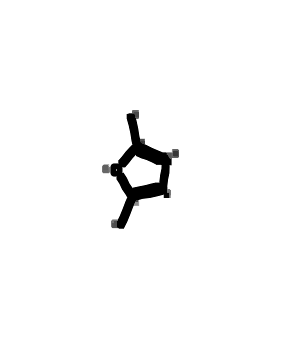 Cc1cnc(C)o1